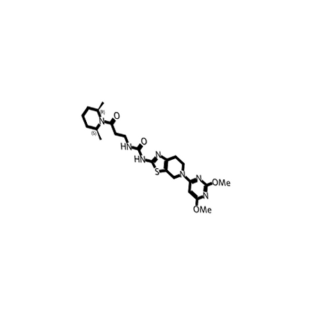 COc1cc(N2CCc3nc(NC(=O)NCCC(=O)N4[C@H](C)CCC[C@@H]4C)sc3C2)nc(OC)n1